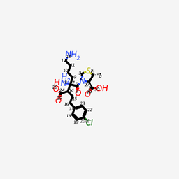 C[C@H]1SCN(C(=O)[C@@](N)(CCCCN)C(CCc2ccc(Cl)cc2)C(=O)O)[C@@H]1C(=O)O